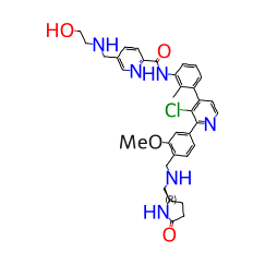 COc1cc(-c2nccc(-c3cccc(NC(=O)c4ccc(CNCCO)cn4)c3C)c2Cl)ccc1CNC[C@H]1CCC(=O)N1